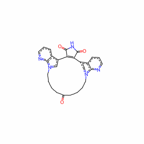 O=C1CCCCn2cc(c3cccnc32)C2=C(C(=O)NC2=O)c2cn(c3ncccc23)CCCC1